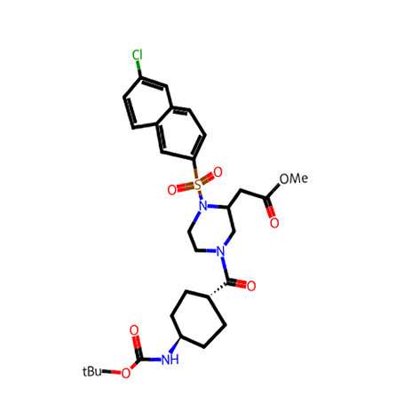 COC(=O)CC1CN(C(=O)[C@H]2CC[C@H](NC(=O)OC(C)(C)C)CC2)CCN1S(=O)(=O)c1ccc2cc(Cl)ccc2c1